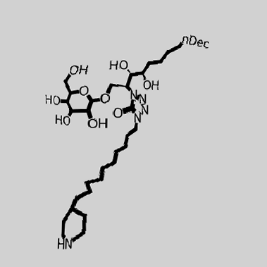 CCCCCCCCCCCCCC[C@@H](O)[C@@H](O)[C@H](COC1OC(CO)C(O)C(O)C1O)n1nnn(CCCCCCCCCCC2CCNCC2)c1=O